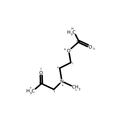 CC(=O)CN(C)CCOC(C)=O